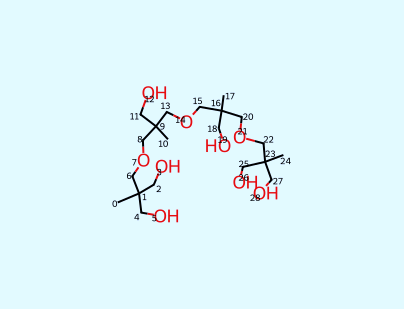 CC(CO)(CO)COCC(C)(CO)COCC(C)(CO)COCC(C)(CO)CO